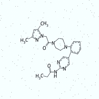 CCC(=O)Nc1ncc(-c2ccccc2N2CCN(C(=O)Cn3nc(C)cc3C)CC2)cn1